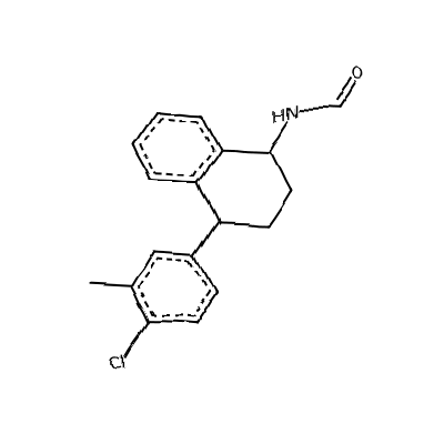 Cc1cc(C2CCC(NC=O)c3ccccc32)ccc1Cl